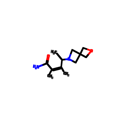 CC(C(N)=O)=C(C)C(C)N1CC2(COC2)C1